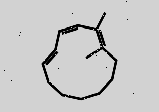 CC1=C(/C)CCCCCC/C=C/C=C\1